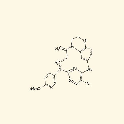 C=CC(=C)N1CCOc2ccc(Nc3nc(Nc4ccc(OC)nc4)ncc3C(C)=O)cc21